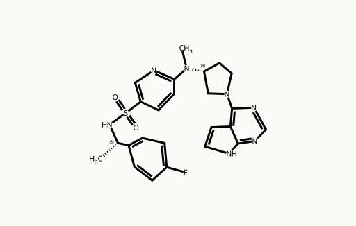 C[C@H](NS(=O)(=O)c1ccc(N(C)[C@@H]2CCN(c3ncnc4[nH]ccc34)C2)nc1)c1ccc(F)cc1